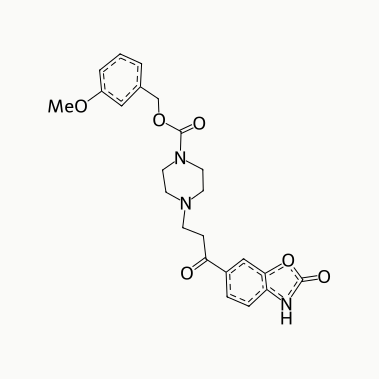 COc1cccc(COC(=O)N2CCN(CCC(=O)c3ccc4[nH]c(=O)oc4c3)CC2)c1